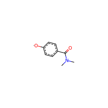 CN(C)C(=O)c1ccc([O])cc1